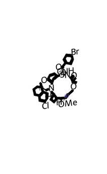 CO[C@H]1/C=C/COC(C)(C)C(=O)N=[S@@](=O)(NC(=O)c2ccc(Br)cc2)c2ccc3c(c2)N(C[C@@H]2CC[C@H]21)C[C@@]1(CCCc2cc(Cl)ccc21)CO3